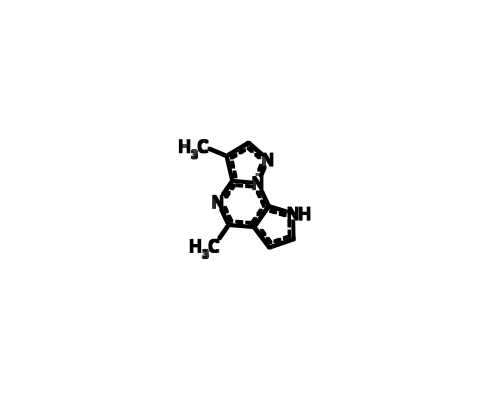 Cc1nc2c(C)cnn2c2[nH]ccc12